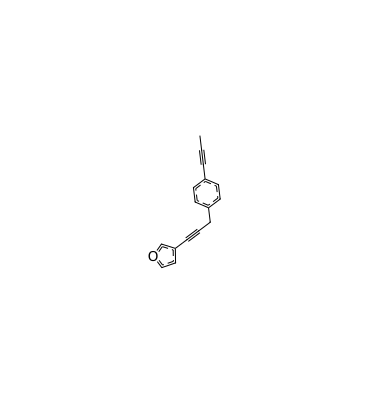 CC#Cc1ccc(CC#Cc2ccoc2)cc1